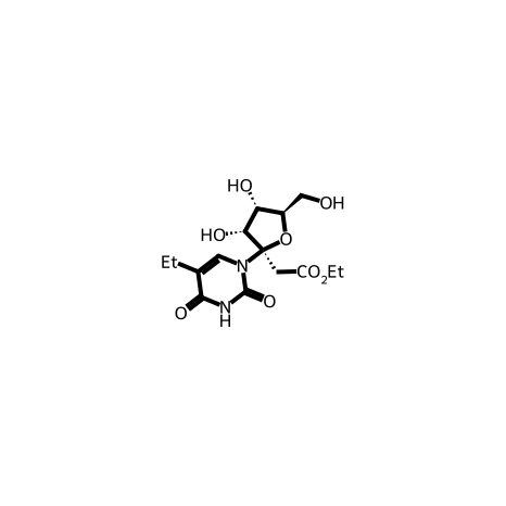 CCOC(=O)C[C@@]1(n2cc(CC)c(=O)[nH]c2=O)O[C@H](CO)[C@@H](O)[C@H]1O